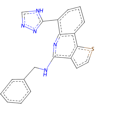 c1ccc(CNc2nc3c(-c4nnc[nH]4)cccc3c3sccc23)cc1